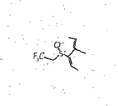 C/C=C(C)\C(=C/C)[S+]([O-])CC(F)(F)F